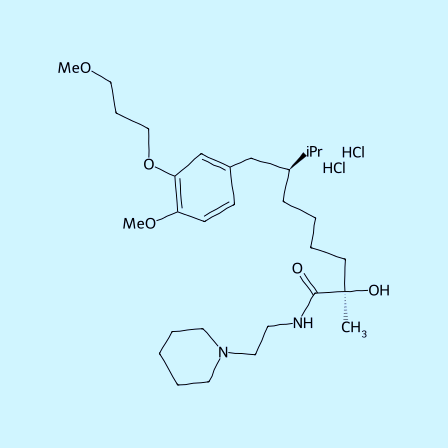 COCCCOc1cc(C[C@H](CCCC[C@@](C)(O)C(=O)NCCN2CCCCC2)C(C)C)ccc1OC.Cl.Cl